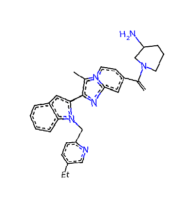 C=C(c1ccn2c(C)c(-c3cc4ccccc4n3Cc3ccc(CC)cn3)nc2c1)N1CCCC(N)C1